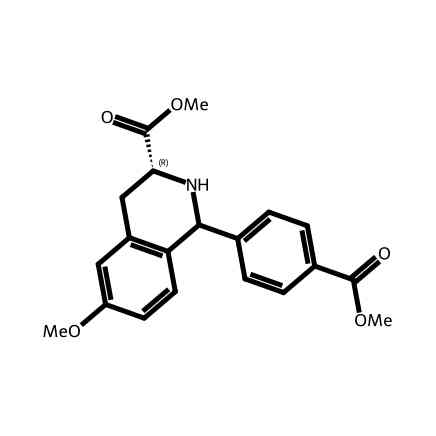 COC(=O)c1ccc(C2N[C@@H](C(=O)OC)Cc3cc(OC)ccc32)cc1